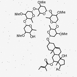 C/C=C(\C)C(=O)OC1CC2C(CC=C3CC(O[C@H]4CC(OC)[C@H](O[C@H]5CC(OC)[C@H](O[C@H]6CC(OC)[C@H](O[C@H]7CC(OC)[C@H](O[C@H]8CC(OC)[C@H](O)C(C)O8)C(C)O7)C(C)O6)C(C)O5)C(C)O4)CCC32C)C2(O)CCC(C(C)=O)C12C